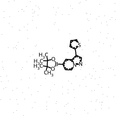 CC1(C)OB(c2ccn3ncc(-c4cccs4)c3c2)OC1(C)C